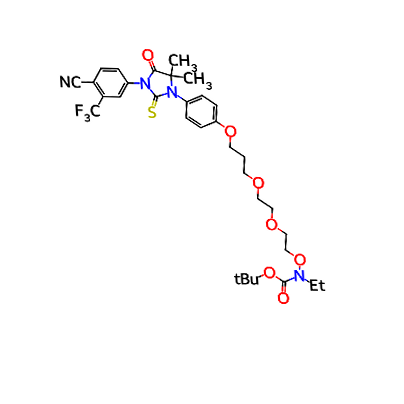 CCN(OCCOCCOCCCOc1ccc(N2C(=S)N(c3ccc(C#N)c(C(F)(F)F)c3)C(=O)C2(C)C)cc1)C(=O)OC(C)(C)C